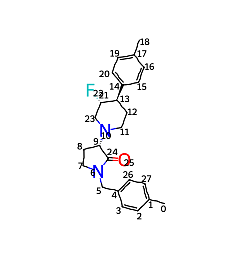 Cc1ccc(CN2CC[C@H](N3CC[C@H](c4ccc(C)cc4)[C@@H](F)C3)C2=O)cc1